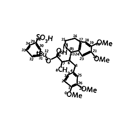 COc1ccc(CC(C(C)C(=O)OC(C)(C)C)[C@H]2NCCc3cc(OC)c(OC)cc32)cc1OC.O=S(=O)(O)c1ccccc1